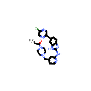 O=C(CC(F)(F)F)N1CCN(Cc2ccnc(Nc3nc4ccc(-c5cnc(Cl)cn5)cc4[nH]3)c2)CC1